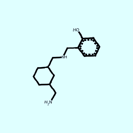 NCC1CCCC(CNCc2ccccc2O)C1